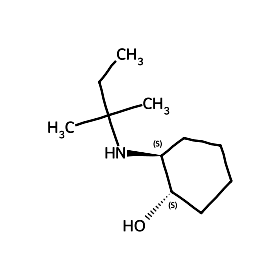 CCC(C)(C)N[C@H]1CCCC[C@@H]1O